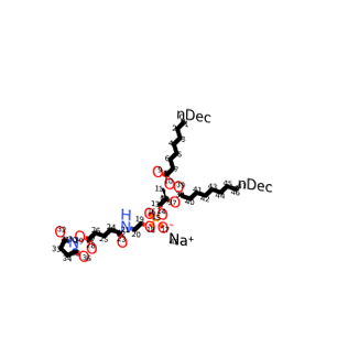 CCCCCCCCCCCCCCCCCC(=O)OC[C@H](COP(=O)([O-])OCCNC(=O)CCCC(=O)ON1C(=O)CCC1=O)OC(=O)CCCCCCCCCCCCCCCCC.[Na+]